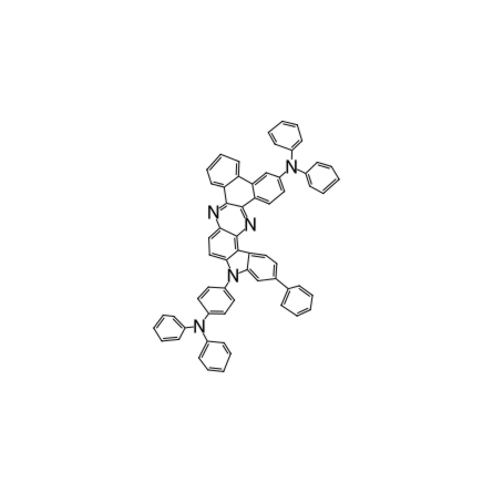 c1ccc(-c2ccc3c4c5nc6c7ccc(N(c8ccccc8)c8ccccc8)cc7c7ccccc7c6nc5ccc4n(-c4ccc(N(c5ccccc5)c5ccccc5)cc4)c3c2)cc1